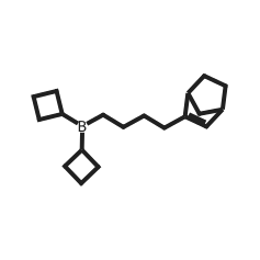 C1=C(CCCCB(C2CCC2)C2CCC2)C2CCC1C2